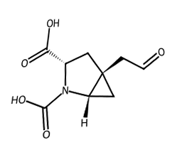 O=CC[C@@]12C[C@@H]1N(C(=O)O)[C@H](C(=O)O)C2